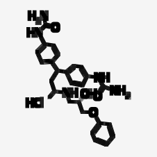 CC(CC(c1ccc(NC(N)=O)cc1)c1ccc(NC(N)=O)cc1)NC[C@H](O)COc1ccccc1.Cl